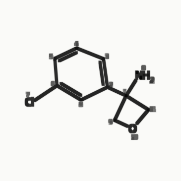 NC1(c2cccc(Cl)c2)COC1